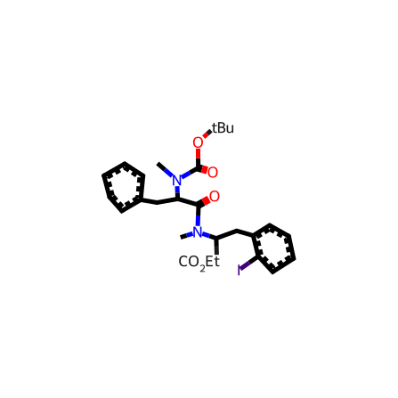 CCOC(=O)C(Cc1ccccc1I)N(C)C(=O)C(Cc1ccccc1)N(C)C(=O)OC(C)(C)C